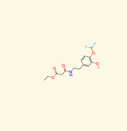 CCOC(=O)CC(=O)NCCc1ccc(OC(F)F)c(OC)c1